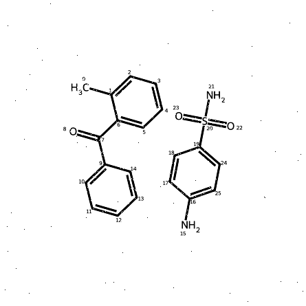 Cc1ccccc1C(=O)c1ccccc1.Nc1ccc(S(N)(=O)=O)cc1